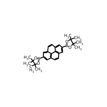 CC1(C)OB(c2cc3ccc4cc(B5OC(C)(C)C(C)(C)O5)cc5ccc(c2)c3c45)OC1(C)C